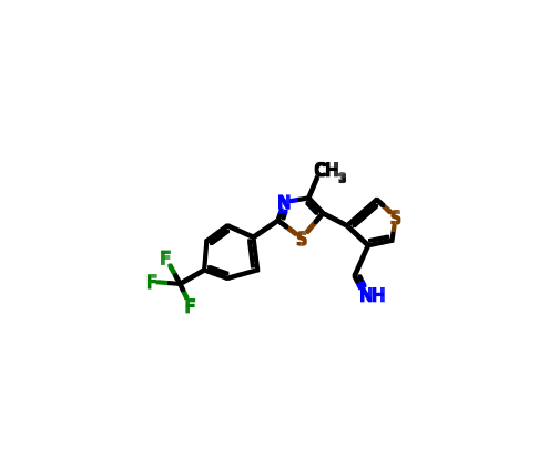 Cc1nc(-c2ccc(C(F)(F)F)cc2)sc1-c1cscc1C=N